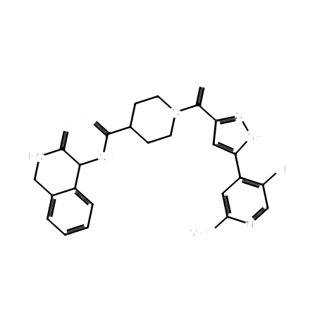 COc1cc(-c2cc(C(=O)N3CCC(C(=O)NC4C(=O)NCc5ccccc54)CC3)n[nH]2)c(Cl)cn1